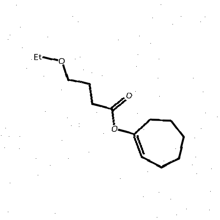 CCOCCCC(=O)OC1=CCCCCC1